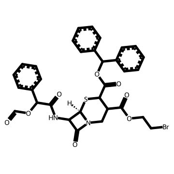 O=COC(C(=O)NC1C(=O)N2CC(C(=O)OCCBr)C(C(=O)OC(c3ccccc3)c3ccccc3)S[C@H]12)c1ccccc1